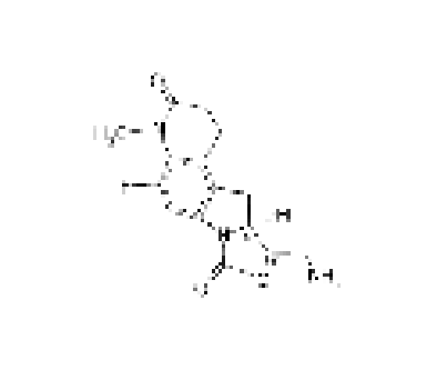 CN1C(=O)CCc2c3c(cc(F)c21)N1C(=O)O[C@@H](CN)[C@@H]1C3